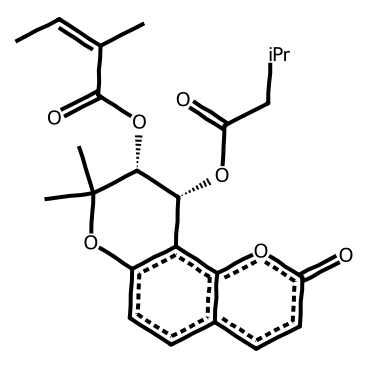 C/C=C(/C)C(=O)O[C@@H]1[C@H](OC(=O)CC(C)C)c2c(ccc3ccc(=O)oc23)OC1(C)C